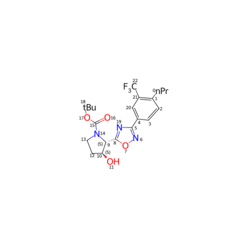 CCCc1ccc(-c2noc([C@@H]3[C@@H](O)CCN3C(=O)OC(C)(C)C)n2)cc1C(F)(F)F